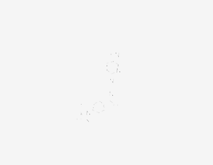 Cc1cc(N2C(=O)OC[C@H]2C)ccc1C(=O)N1CCN(c2ncc(C#N)cc2C)CC1